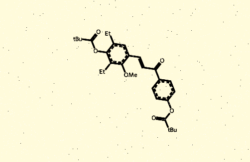 CCc1cc(C=CC(=O)c2ccc(OC(=O)C(C)(C)C)cc2)c(OC)c(CC)c1OC(=O)C(C)(C)C